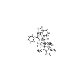 CC1=C(C)[C](C)([Hf]([CH3])([CH3])[C]2=C(CC(C)c3ccccc3)c3c(ccc4c3CCC4)C2)C(C)=C1C